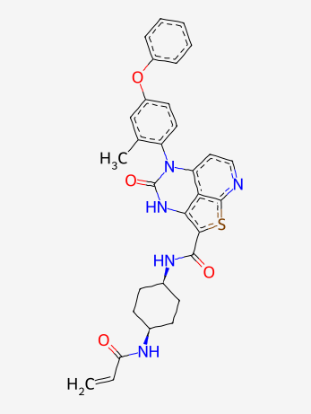 C=CC(=O)N[C@H]1CC[C@@H](NC(=O)c2sc3nccc4c3c2NC(=O)N4c2ccc(Oc3ccccc3)cc2C)CC1